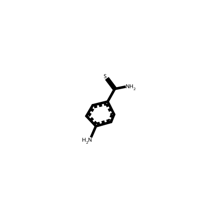 NC(=S)c1ccc(N)cc1